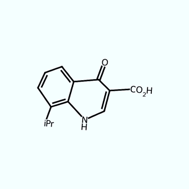 CC(C)c1cccc2c(=O)c(C(=O)O)c[nH]c12